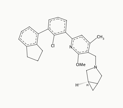 COc1nc(-c2cccc(-c3cccc4c3CCC4)c2Cl)cc(C)c1CN1CC2C[C@H]2C1